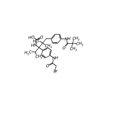 C[C](C)C(NC(=O)O)(c1ccc(NC(=O)CBr)cc1)C(C)(C)Cc1ccc(NC(=O)C(C)(C)C)cc1